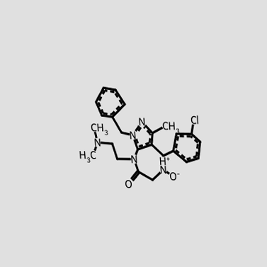 Cc1nn(Cc2ccccc2)c2c1C(c1cccc(Cl)c1)[NH+]([O-])CC(=O)N2CCN(C)C